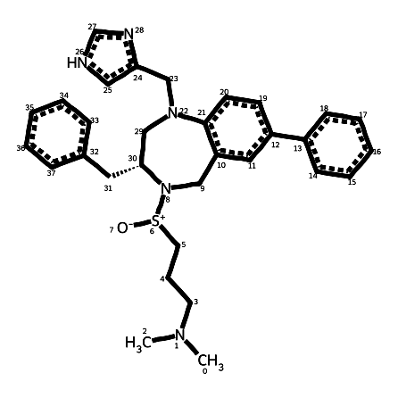 CN(C)CCC[S+]([O-])N1Cc2cc(-c3ccccc3)ccc2N(Cc2c[nH]cn2)C[C@H]1Cc1ccccc1